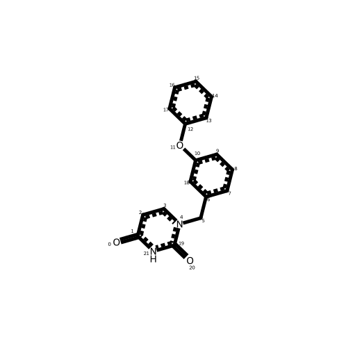 O=c1ccn(Cc2cccc(Oc3ccccc3)c2)c(=O)[nH]1